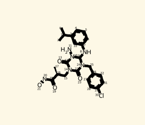 CC(C)c1cccc(NC2N(N)C(=O)N(C[C@H](C)C(=O)N=O)C(=O)N2Cc2ccc(Cl)cc2)c1